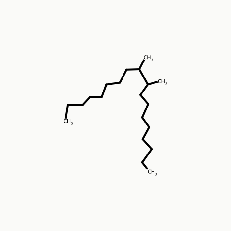 CCCCCCCCC(C)C(C)CCCCCCCC